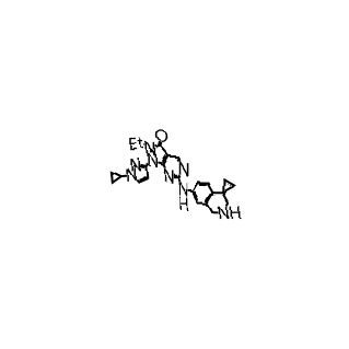 CCn1c(=O)c2cnc(Nc3ccc4c(c3)CNCC43CC3)nc2n1-c1ccn(C2CC2)n1